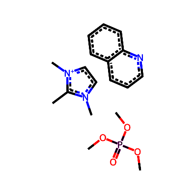 COP(=O)(OC)OC.Cc1n(C)cc[n+]1C.c1ccc2ncccc2c1